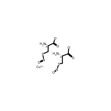 N[C@@H](CSN=O)C(=O)[O-].N[C@@H](CSN=O)C(=O)[O-].[Cu+2]